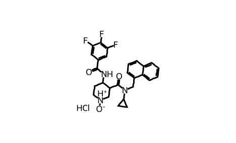 Cl.O=C(NC1CC[NH+]([O-])CC1C(=O)N(Cc1cccc2ccccc12)C1CC1)c1cc(F)c(F)c(F)c1